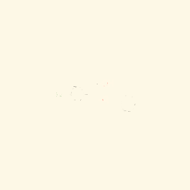 Cc1cc(Br)ccc1[C@H](CO)COCc1ccccc1